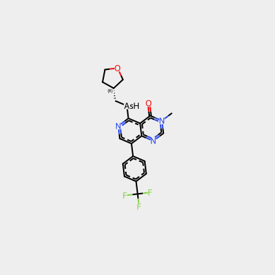 Cn1cnc2c(-c3ccc(C(F)(F)F)cc3)cnc([AsH]C[C@@H]3CCOC3)c2c1=O